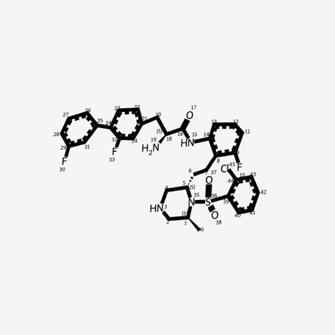 C[C@H]1CNC[C@H](CCc2c(F)cccc2NC(=O)[C@@H](N)Cc2ccc(-c3cccc(F)c3)c(F)c2)N1S(=O)(=O)c1ccccc1Cl